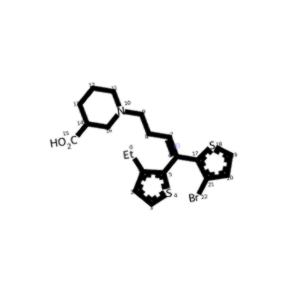 CCc1ccsc1/C(=C\CCN1CCCC(C(=O)O)C1)c1sccc1Br